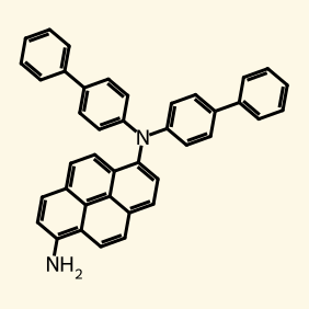 Nc1ccc2ccc3c(N(c4ccc(-c5ccccc5)cc4)c4ccc(-c5ccccc5)cc4)ccc4ccc1c2c43